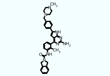 Cc1c(NC(=O)N2Cc3ccccc3C2)cccc1-c1nc(N)nc2[nH]c(-c3ccc(CN4CCN(C)CC4)cc3)cc12